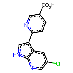 O=C(O)c1ccc(-c2c[nH]c3ncc(Cl)cc23)nc1